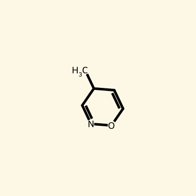 CC1C=CON=C1